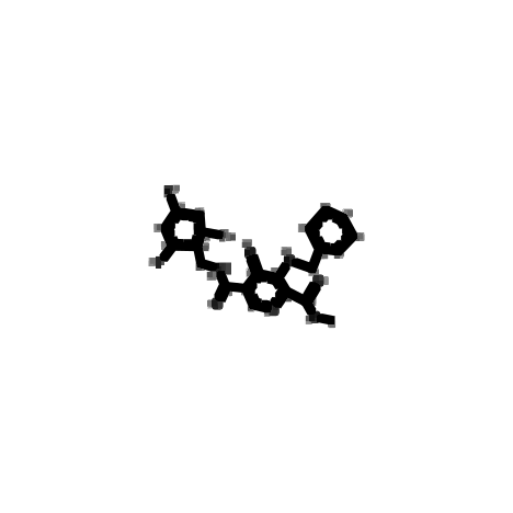 COC(=O)c1occ(C(=O)NCc2c(F)cc(F)cc2F)c(=O)c1OCc1ccccc1